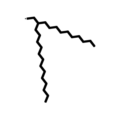 [CH2]CC(CCCCCCCCCC)CCCCCCCCCCCCC